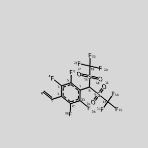 C=Cc1c(F)c(F)c(C(S(=O)(=O)C(F)(F)F)S(=O)(=O)C(F)(F)F)c(F)c1F